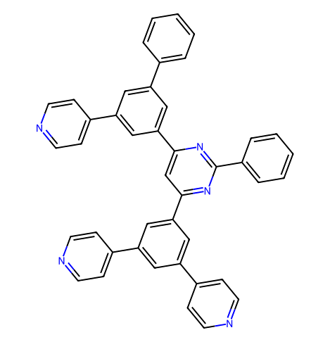 c1ccc(-c2cc(-c3ccncc3)cc(-c3cc(-c4cc(-c5ccncc5)cc(-c5ccncc5)c4)nc(-c4ccccc4)n3)c2)cc1